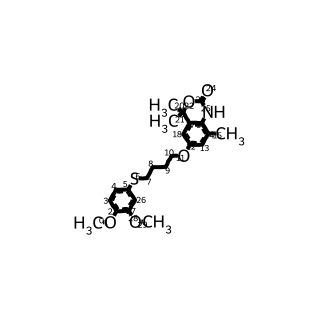 COc1ccc(SCCCCOc2cc(C)c3c(c2)C(C)(C)OC(=O)N3)cc1OC